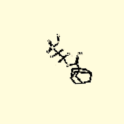 CCOS(=O)(=O)C(CC)(CC)C(OC(=O)C12CC3CC(CC(C3)C1)C2)(C(F)(F)F)C(F)(F)F.N